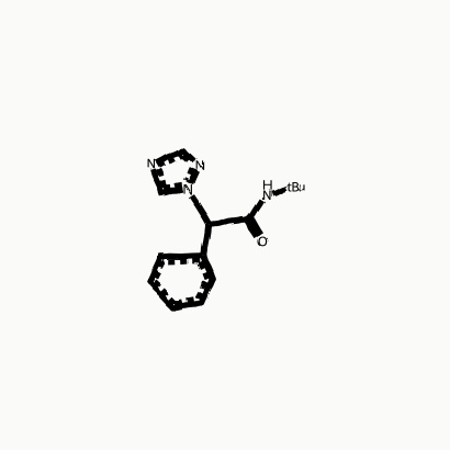 CC(C)(C)NC(=O)C(c1ccccc1)n1cncn1